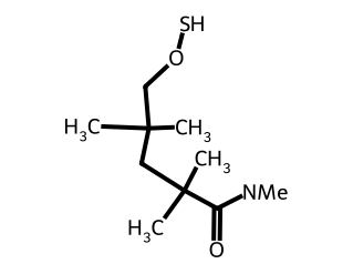 CNC(=O)C(C)(C)CC(C)(C)COS